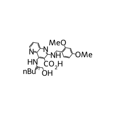 CCCC[C@H](CO)Nc1c(C(=O)O)c(NCc2ccc(OC)cc2OC)nc2cccnc12